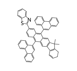 CC1(C)C2=C(C=CCC2)c2cc3c(-c4cc5ccccc5c5ccccc45)c4ccc(-c5nc6ccccc6s5)cc4c(-c4cc5ccccc5c5ccccc45)c3cc21